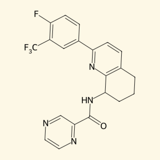 O=C(NC1CCCc2ccc(-c3ccc(F)c(C(F)(F)F)c3)nc21)c1cnccn1